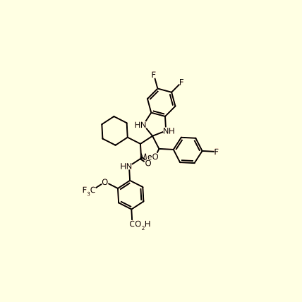 COC(c1ccc(F)cc1)C1(C(C(=O)Nc2ccc(C(=O)O)cc2OC(F)(F)F)C2CCCCC2)Nc2cc(F)c(F)cc2N1